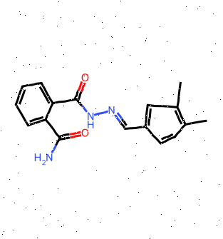 Cc1ccc(C=NNC(=O)c2ccccc2C(N)=O)cc1C